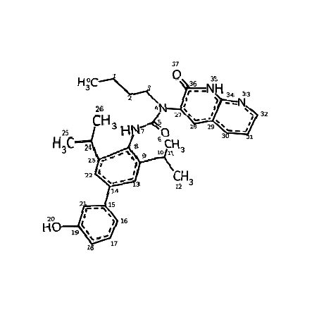 CCCCN(C(=O)Nc1c(C(C)C)cc(-c2cccc(O)c2)cc1C(C)C)c1cc2cccnc2[nH]c1=O